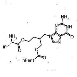 CCCCCC(=O)OCC(CCOC(=O)[C@@H](N)C(C)C)Cn1cnc2c(=O)[nH]c(N)nc21